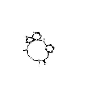 CN1CCCN(C)C(=O)Cc2cccc(c2)Nc2ncnc3[nH]cc(c23)C1